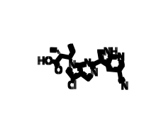 C=C[C@H]([C@@H](C=C)C(=O)O)n1cc(Cl)c2cnc(-c3c[nH]c4ncc(C#N)cc34)nc21